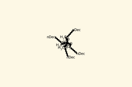 CCCCCCCCCCCCCCCCCCSC(C)CC(=O)OCC(COC(=O)CC(C)SCCCCCCCCCCCCCCCCCC)(COC(=O)CC(C)SCCCCCCCCCCCCCCCCCC)COC(=O)CC(C)SCCCCCCCCCCCCCCCCCC